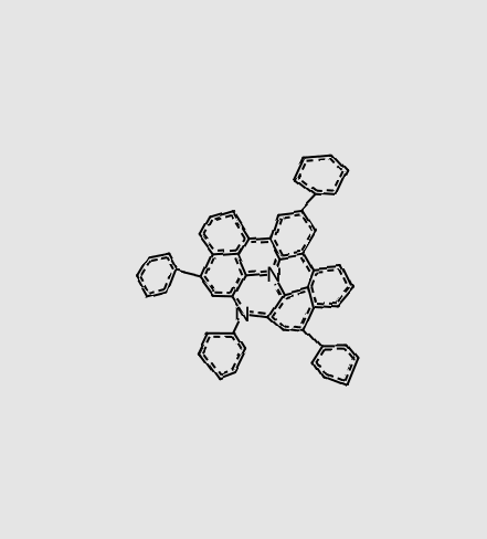 c1ccc(-c2cc3c4cccc5c(-c6ccccc6)cc6c(c54)n4c3c(c2)c2cccc3c(-c5ccccc5)cc(c4c32)n6-c2ccccc2)cc1